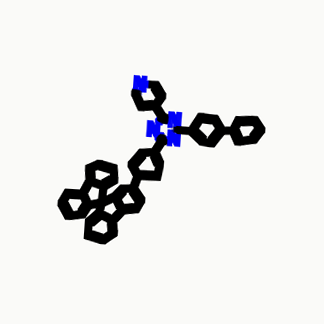 c1ccc(-c2ccc(-c3nc(-c4ccncc4)nc(-c4ccc(-c5ccc6c(c5)C5(c7ccccc7-c7ccccc75)c5ccccc5-6)cc4)n3)cc2)cc1